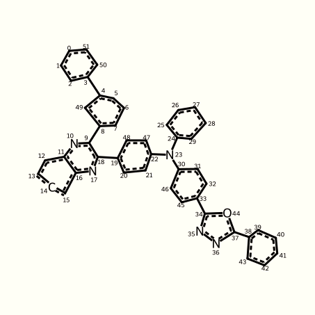 c1ccc(-c2cccc(-c3nc4ccccc4nc3-c3ccc(N(c4ccccc4)c4ccc(-c5nnc(-c6ccccc6)o5)cc4)cc3)c2)cc1